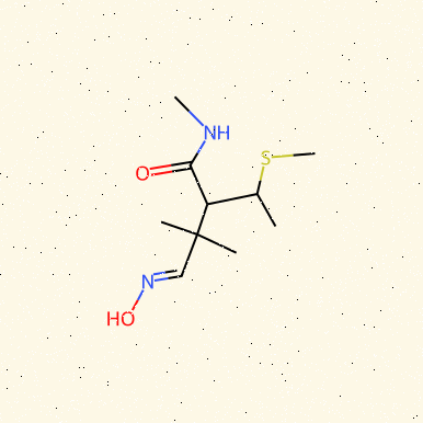 CNC(=O)C(C(C)SC)C(C)(C)C=NO